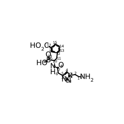 NCCn1cc(CC(=O)N[C@H]2Cc3cccc(C(=O)O)c3OB2O)nn1